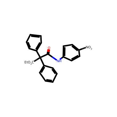 CCOC(=O)C(C(=O)Nc1ccc([N+](=O)[O-])cc1)(c1ccccc1)c1ccccc1